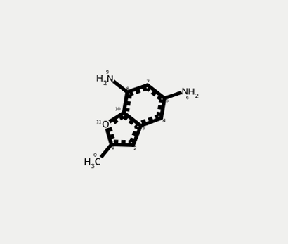 Cc1cc2cc(N)cc(N)c2o1